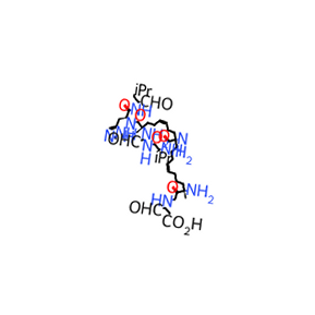 CC(C)C[C@@H](C=O)NC(=O)[C@H](Cc1cnc[nH]1)NC(=O)[C@@](C)(N)CC/C=C\CC[C@](N)(CCC/C=C\CCC[C@](C)(N)C(=O)CN[C@H](C=O)CC(=O)O)C(=O)N[C@H](C(=O)NCC=O)C(C)C